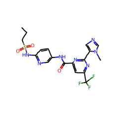 CCCS(=O)(=O)Nc1ccc(NC(=O)c2cc(C(F)(F)F)nc(-c3cncn3C)n2)cn1